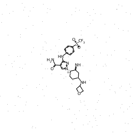 N=C1CC(NC2COC2)CC[C@@H]1n1cc(C(N)=O)c(Nc2ccc(S(=O)(=O)C(F)(F)F)cc2)n1